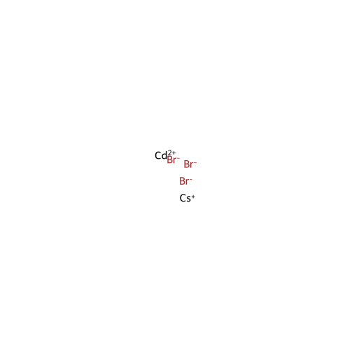 [Br-].[Br-].[Br-].[Cd+2].[Cs+]